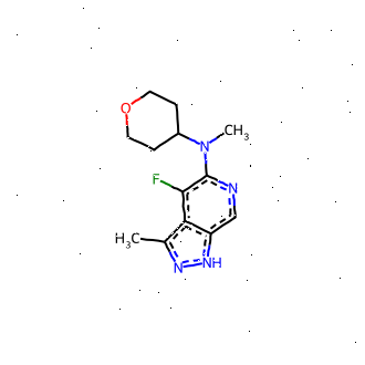 Cc1n[nH]c2cnc(N(C)C3CCOCC3)c(F)c12